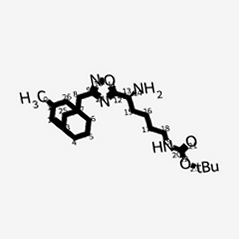 CC1C=C2CCCC(Cc3noc([C@@H](N)CCCCNC(=O)OC(C)(C)C)n3)(C2)C1